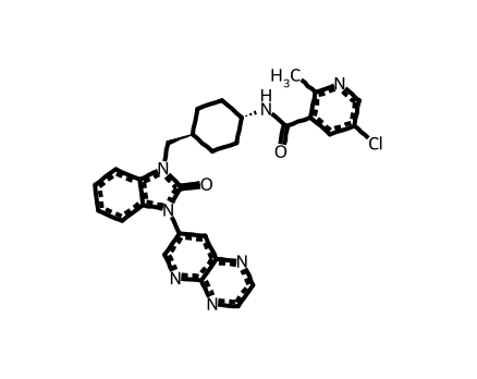 Cc1ncc(Cl)cc1C(=O)N[C@H]1CC[C@H](Cn2c(=O)n(-c3cnc4nccnc4c3)c3ccccc32)CC1